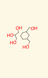 OCC(O)CO.OCC1CCCC(CO)C1